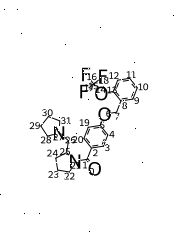 O=C(c1ccc(OCc2ccccc2OC(F)(F)F)cc1)N1CCCC1CN1CCCC1